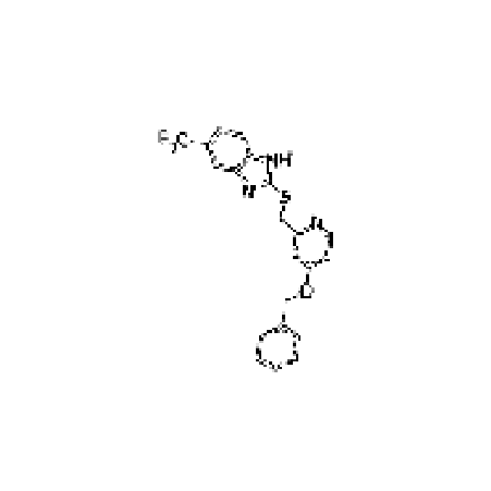 FC(F)(F)c1ccc2[nH]c(SCc3cc(OCc4ccccc4)ccn3)nc2c1